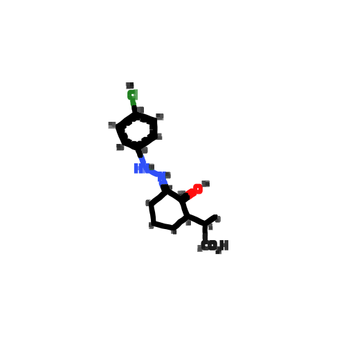 CC(C(=O)O)C1CCC/C(=N\Nc2ccc(Cl)cc2)C1=O